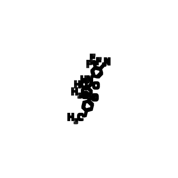 CCc1ccc(S(=O)(=O)CC(C)(O)C(=O)Nc2ccc(C#N)c(C(F)(F)F)c2)cc1